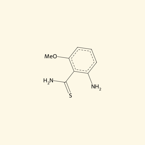 COc1cccc(N)c1C(N)=S